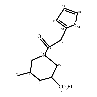 CCOC(=O)C1CC(C)CN(C(=O)Cc2cccs2)C1